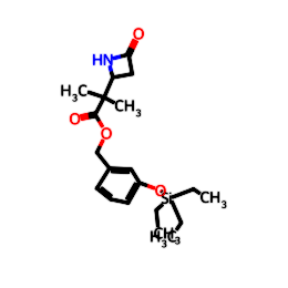 CC[Si](CC)(CC)Oc1cccc(COC(=O)C(C)(C)C2CC(=O)N2)c1